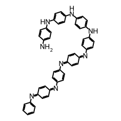 Nc1ccc(Nc2ccc(Nc3ccc(Nc4ccc(N=C5C=CC(=Nc6ccc(N=C7C=CC(=Nc8ccccc8)C=C7)cc6)C=C5)cc4)cc3)cc2)cc1